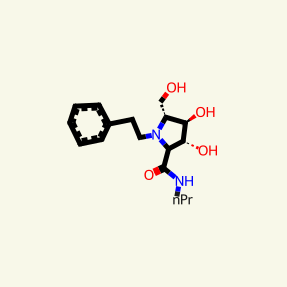 CCCNC(=O)C1[C@@H](O)[C@H](O)[C@@H](CO)N1CCc1ccccc1